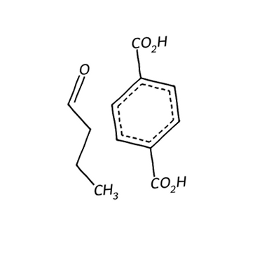 CCCC=O.O=C(O)c1ccc(C(=O)O)cc1